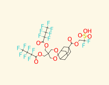 O=C(OCC(F)(F)S(=O)(=O)O)C12CC3CC(C1)C1(OCC(COC(=O)C(F)(F)C(F)(F)C(F)(F)F)(COC(=O)C(F)(F)C(F)(F)C(F)(F)F)CO1)C(C3)C2